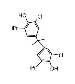 CC(C)c1cc(C(C)(C)c2cc(Cl)c(O)c(C(C)C)c2)cc(Cl)c1O